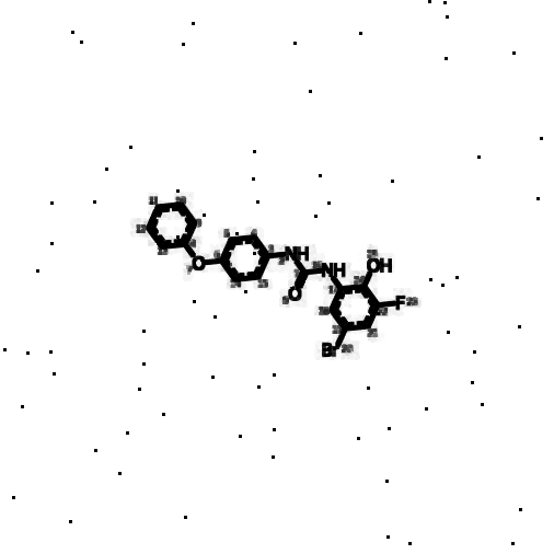 O=C(Nc1ccc(Oc2ccccc2)cc1)Nc1cc(Br)cc(F)c1O